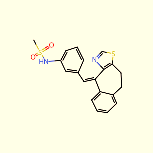 CS(=O)(=O)Nc1cccc(C=C2c3ccccc3CCc3scnc32)c1